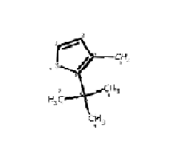 Cc1ccsc1C(C)(C)C